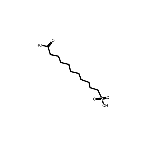 O=C(O)CCCCCCCCCCS(=O)(=O)O